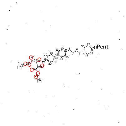 CCCCC[C@H]1CC[C@H](CCCCc2ccc(-c3ccc(C4O[C@@H](C(=O)OOC(C)C)[C@H](C(=O)OOC(C)C)O4)cc3)cc2)CC1